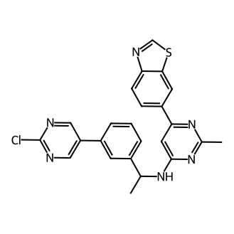 Cc1nc(NC(C)c2cccc(-c3cnc(Cl)nc3)c2)cc(-c2ccc3ncsc3c2)n1